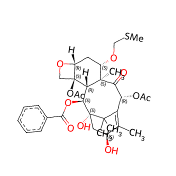 CSCO[C@H]1C[C@H]2OC[C@@]2(OC(C)=O)[C@H]2[C@H](OC(=O)c3ccccc3)[C@]3(O)C[C@H](O)C(C)=C([C@@H](OC(C)=O)C(=O)[C@]12C)C3(C)C